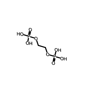 O=P(O)(O)OCCOP(=O)(O)O